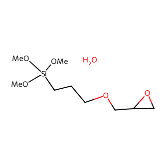 CO[Si](CCCOCC1CO1)(OC)OC.O